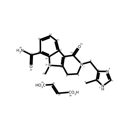 Cc1[nH]cnc1CN1CCc2c(c3cccc(C(N)=O)c3n2C)C1=O.O=C(O)C=CC(=O)O